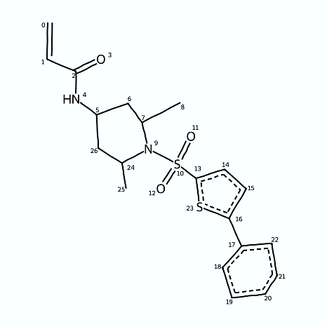 C=CC(=O)NC1CC(C)N(S(=O)(=O)c2ccc(-c3ccccc3)s2)C(C)C1